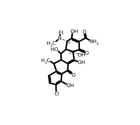 CCN(C)[C@@H]1C(O)=C(C(N)=O)C(=O)[C@@]2(O)C(O)=C3C(=O)c4c(ccc(Cl)c4O)C(C)C3C(O)C12